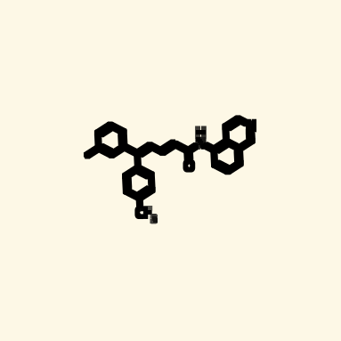 Cc1cccc(/C(=C/C=C/C(=O)Nc2cccc3cnccc23)c2ccc(C(F)(F)F)cc2)c1